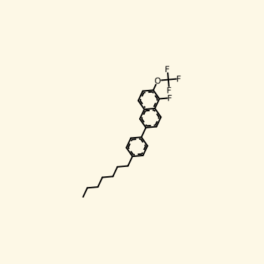 CCCCCCCc1ccc(-c2ccc3c(F)c(OC(F)(F)F)ccc3c2)cc1